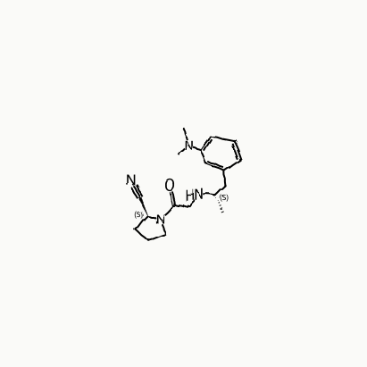 C[C@@H](Cc1cccc(N(C)C)c1)NCC(=O)N1CCC[C@H]1C#N